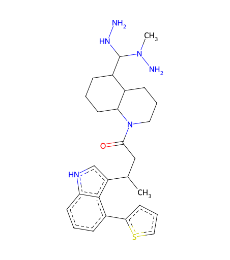 CC(CC(=O)N1CCCC2C(C(NN)N(C)N)CCCC21)c1c[nH]c2cccc(-c3cccs3)c12